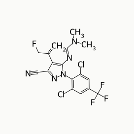 C=C(CF)c1c(C#N)nn(-c2c(Cl)cc(C(F)(F)F)cc2Cl)c1N=CN(C)C